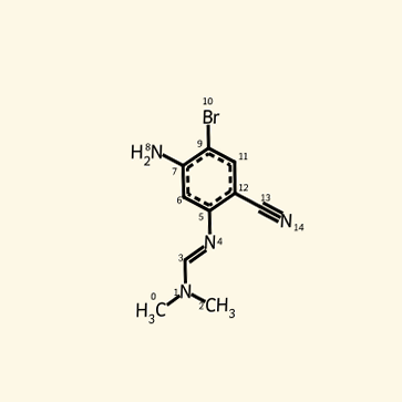 CN(C)C=Nc1cc(N)c(Br)cc1C#N